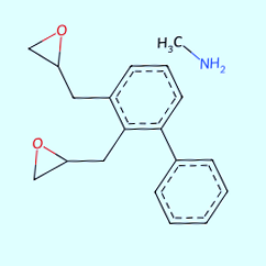 CN.c1ccc(-c2cccc(CC3CO3)c2CC2CO2)cc1